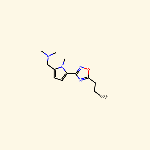 CN(C)Cc1ccc(-c2noc(CCC(=O)O)n2)n1C